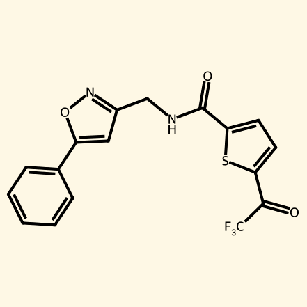 O=C(NCc1cc(-c2ccccc2)on1)c1ccc(C(=O)C(F)(F)F)s1